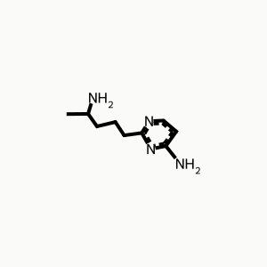 CC(N)CCCc1nccc(N)n1